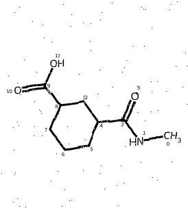 CNC(=O)C1CCCC(C(=O)O)C1